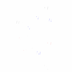 Cn1c(=O)c(C(=O)NCC(=O)O)c(O)c2cnc(C(F)(F)F)nc21